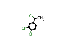 [CH2]C(Cl)c1ccc(Cl)c(Cl)c1